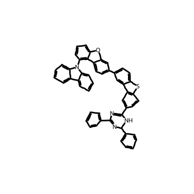 c1ccc(C2=NC(c3ccccc3)NC(c3ccc4sc5ccc(-c6ccc7c(c6)oc6cccc(-n8c9ccccc9c9ccccc98)c67)cc5c4c3)=N2)cc1